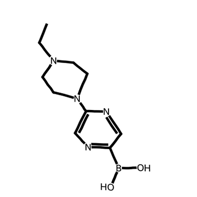 CCN1CCN(c2cnc(B(O)O)cn2)CC1